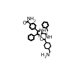 NCC1CCC(C(=O)N[C@@H](Cc2ccccc2)c2nc(-c3ccccc3)c(-c3ccc(C(N)=O)cc3)[nH]2)CC1